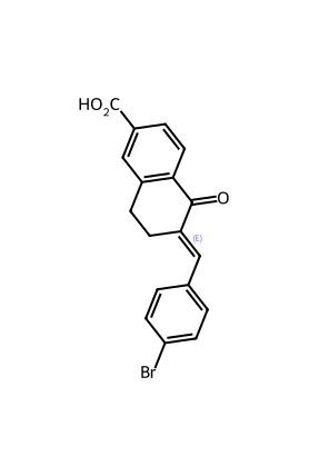 O=C(O)c1ccc2c(c1)CC/C(=C\c1ccc(Br)cc1)C2=O